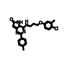 Cc1ccc(C2=NC3=CC(=O)NC3C(NCCCOc3ccc(Cl)c(C)c3)=N2)cc1